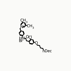 CCCCCCCCCCCCCCOc1ccc(CC(=O)Nc2ccc(C[n+]3cc(C)cc(C)c3)cc2)c(Cl)c1.[Br-]